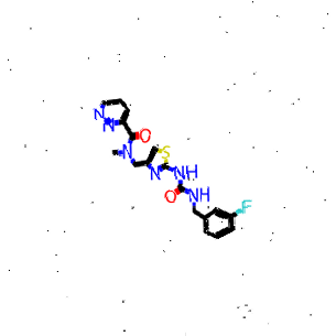 CN(Cc1csc(NC(=O)NCc2cccc(F)c2)n1)C(=O)c1cccnn1